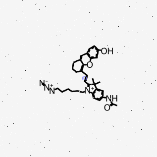 CC(=O)Nc1ccc2c(c1)C(C)(C)C(/C=C/C1=C3Oc4cc(O)ccc4C=C3CCC1)=[N+]2CCCCCCN=[N+]=[N-]